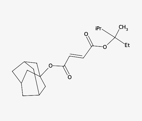 CCC(C)(OC(=O)/C=C/C(=O)OC12CC3CC(CC(C3)C1)C2)C(C)C